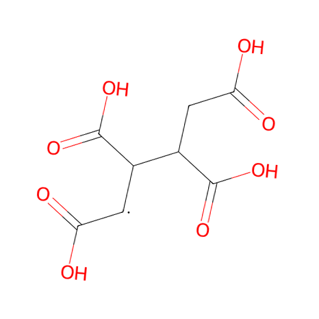 O=C(O)[CH]C(C(=O)O)C(CC(=O)O)C(=O)O